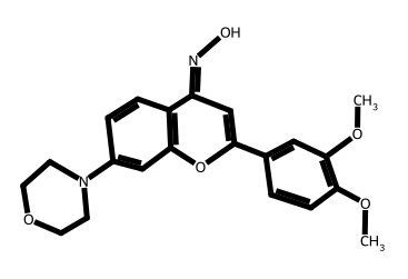 COc1ccc(-c2c/c(=N\O)c3ccc(N4CCOCC4)cc3o2)cc1OC